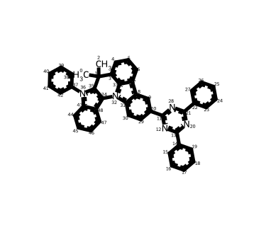 CC1(C)c2cccc3c4cc(-c5nc(-c6ccccc6)nc(-c6ccccc6)n5)ccc4n(c23)-c2c1n(-c1ccccc1)c1ccccc21